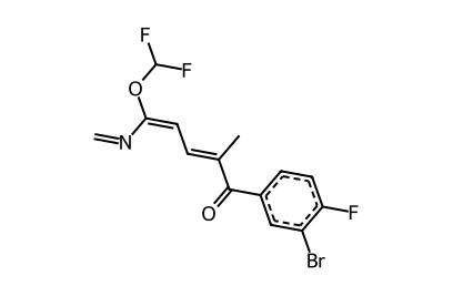 C=N/C(=C\C=C(/C)C(=O)c1ccc(F)c(Br)c1)OC(F)F